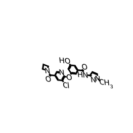 Cn1ccc(NC(=O)c2cc(O)cc(Oc3ncc(C(=O)N4CCC4)cc3Cl)c2)n1